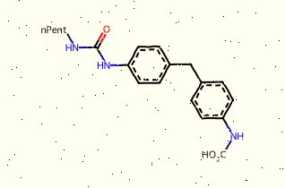 CCCCCNC(=O)Nc1ccc(Cc2ccc(NC(=O)O)cc2)cc1